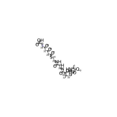 COC(=O)[C@H](C)NP1(=O)OCC(C)(C)[C@H](C(=O)NCCC(=O)NCCSC(=O)CC(=O)CC(=O)/C=C/C(=O)O)O1